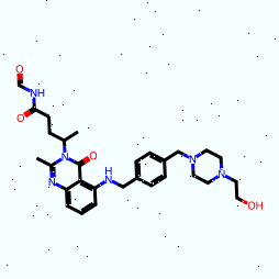 Cc1nc2cccc(NCc3ccc(CN4CCN(CCO)CC4)cc3)c2c(=O)n1C(C)CCC(=O)NC=O